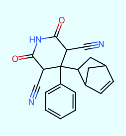 N#CC1C(=O)NC(=O)C(C#N)C1(c1ccccc1)C1CC2C=CC1C2